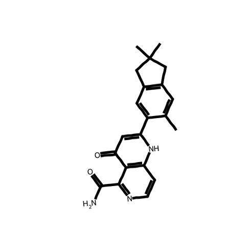 Cc1cc2c(cc1-c1cc(=O)c3c(C(N)=O)nccc3[nH]1)CC(C)(C)C2